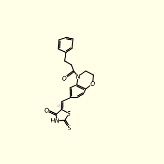 O=C1NC(=S)S/C1=C\c1ccc2c(c1)N(C(=O)CCc1ccccc1)CCO2